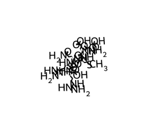 CSCC[C@H](NC(=O)[C@H](CCC(=O)O)NC(=O)[C@@H](N)CC(=O)O)C(=O)N[C@@H](CCC(N)=O)C(=O)N[C@@H](CCCNC(=N)N)C(=O)N[C@@H](CCCNC(=N)N)C(=O)O